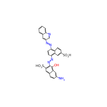 Nc1ccc2cc(S(=O)(=O)O)c(N=Nc3ccc(N=Nc4cnc5ccccc5c4)c4ccc(S(=O)(=O)O)cc34)c(O)c2c1